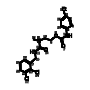 CCc1ccc(NC(=O)OCCN(C)C(=O)NCc2cccc(Cl)c2Cl)cc1